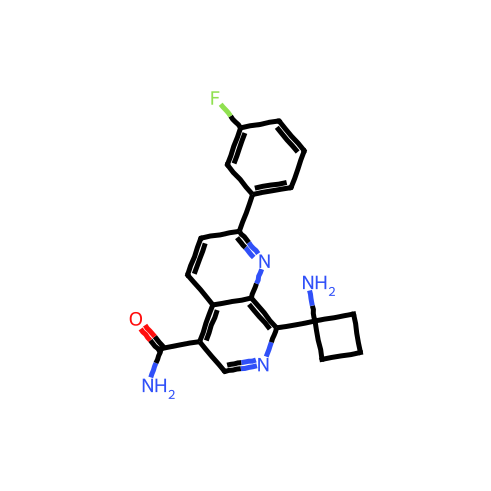 NC(=O)c1cnc(C2(N)CCC2)c2nc(-c3cccc(F)c3)ccc12